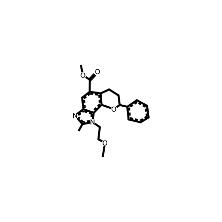 COCCn1c(C)nc2cc(C(=O)OC)c3c(c21)OC(c1ccccc1)CC3